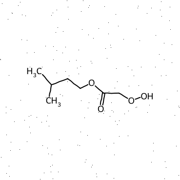 CC(C)CCOC(=O)COO